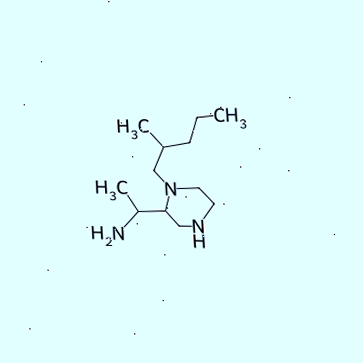 CCCC(C)CN1CCNCC1C(C)N